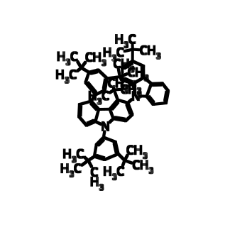 CC(C)(C)c1cc(-c2cccc3c2c2c(C(C)(C)C)c(-n4c5ccccc5c5cc(C(C)(C)C)ccc54)ccc2n3-c2cc(C(C)(C)C)cc(C(C)(C)C)c2)cc(C(C)(C)C)c1